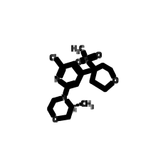 C[C@@H]1COCCN1c1cc(C2(S(C)(=O)=O)CCOCC2)cc(Cl)n1